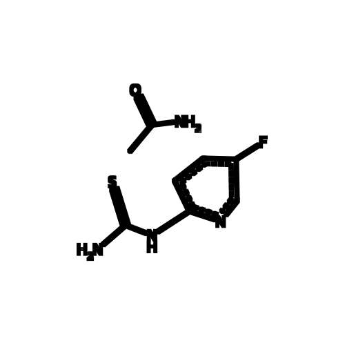 CC(N)=O.NC(=S)Nc1ccc(F)cn1